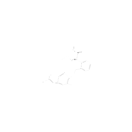 CNC(=O)C(=NOC)c1ccccc1COc1ccc(C=C(Br)Br)cc1Cl